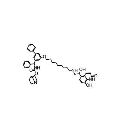 O=C(NC(c1ccccc1)c1cc(OCCCCCCCCCNCC(O)c2ccc(O)c3[nH]c(=O)ccc23)cc(-c2ccccc2)c1)OC1CN2CCC1CC2